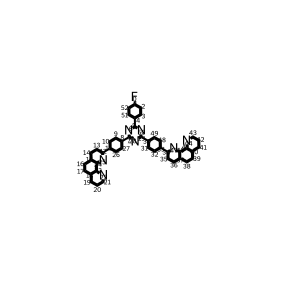 Fc1ccc(-c2nc(-c3ccc(-c4ccc5ccc6cccnc6c5n4)cc3)nc(-c3ccc(-c4ccc5ccc6cccnc6c5n4)cc3)n2)cc1